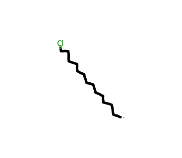 [CH2]CCCCCCCCCCCCCCl